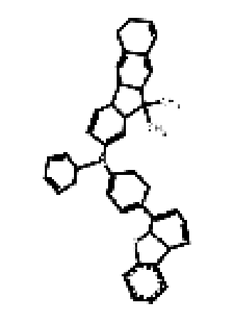 CC1(C)C2C=C3C=CCCC3=CC2C2C=CC(N(C3=CC=C(C4=CC=CC5c6ccccc6SC45)CC3)C3C=CC=CC3)=CC21